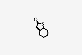 O=C1C=C2CCCCC2S1